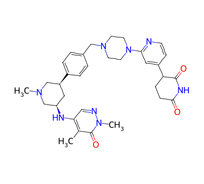 Cc1c(N[C@@H]2C[C@H](c3ccc(CN4CCN(c5cc(C6CCC(=O)NC6=O)ccn5)CC4)cc3)CN(C)C2)cnn(C)c1=O